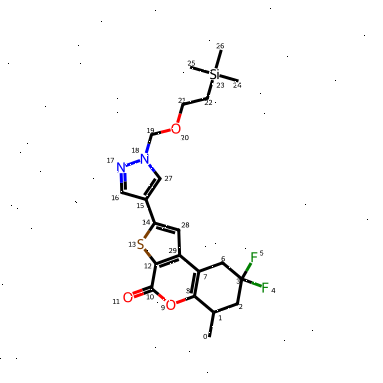 CC1CC(F)(F)Cc2c1oc(=O)c1sc(-c3cnn(COCC[Si](C)(C)C)c3)cc21